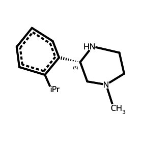 CC(C)c1ccccc1[C@H]1CN(C)CCN1